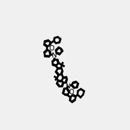 CC1(C)c2cc(N(c3ccccc3)c3cccc4c3oc3c(C5CCCCC5)cccc34)ccc2-c2cc3c(cc21)-c1ccc(N(c2ccccc2)c2cccc4c2oc2c(C5CCCCC5)cccc24)c2cccc(c12)C3(C)C